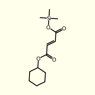 C[Si](C)(C)OC(=O)C=CC(=O)OC1CCCCC1